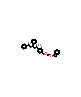 CC(CC(CC(C)c1ccc(COCCOC2Cc3ccccc32)cc1)c1ccccc1)c1ccccc1